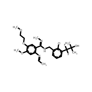 C/C=N/c1cc(OC)c(OCCOC)cc1/C(=N\C)NCc1cccc(C(F)(F)C(C)(C)O)c1Cl